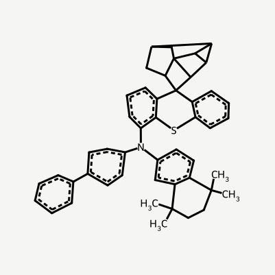 CC1(C)CCC(C)(C)c2cc(N(c3ccc(-c4ccccc4)cc3)c3cccc4c3Sc3ccccc3C43C4CC5CC46C4C5C4C36)ccc21